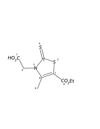 CCOC(=O)c1sc(=S)n(CC(=O)O)c1C